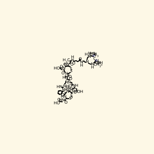 C[C@H](NC(=O)CCC(=O)NCCN1CCNC(C)(C)/C(=N\O)C/C(=N/O)C(C)(C)NCC1)C(=O)N[C@H]1CSSC[C@@H](C(=O)N[C@@H](CCCNC(=N)N)C(=O)NCC(=O)N[C@@H](CC(=O)O)C(=O)N[C@H]2CSSC[C@@H](C(=O)NCC(=O)O)NC(=O)[C@H](Cc3ccccc3)NC2=O)NC(=O)[C@H](CC(=O)O)NC1=O